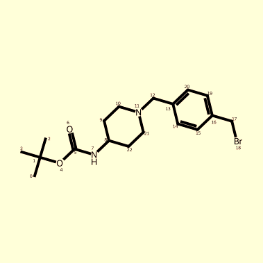 CC(C)(C)OC(=O)NC1CCN(Cc2ccc(CBr)cc2)CC1